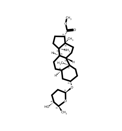 COC(=O)[C@H]1CC[C@]2(N)[C@@H]3CC[C@@H]4C[C@@H](O[C@@H]5CC[C@@H](O)[C@H](C)O5)CC[C@]4(C)[C@H]3CC[C@]12C